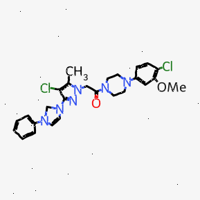 COc1cc(N2CCN(C(=O)Cn3nc(N4C=CN(c5ccccc5)C4)c(Cl)c3C)CC2)ccc1Cl